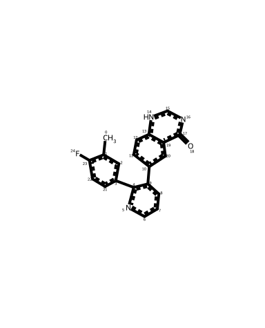 Cc1cc(-c2ncccc2-c2ccc3[nH]cnc(=O)c3c2)ccc1F